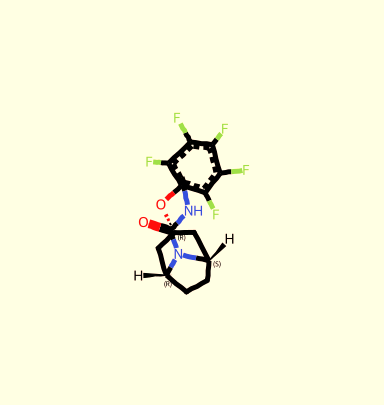 CNC(=O)N1[C@@H]2CC[C@H]1C[C@@H](Oc1c(F)c(F)c(F)c(F)c1F)C2